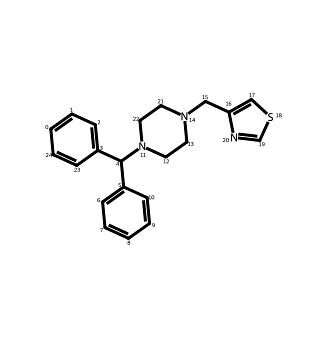 c1ccc(C(c2ccccc2)N2CCN(Cc3cscn3)CC2)cc1